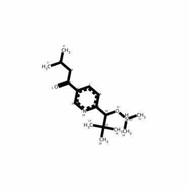 CC(C)CC(=O)c1ccc(C(O[SiH](C)C)C(C)(C)C)nc1